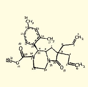 C=CCC1(CC=C)CC2[C@H](c3ccc(C)cc3C)N(C(=O)OC(C)(C)C)CCN2C1=O